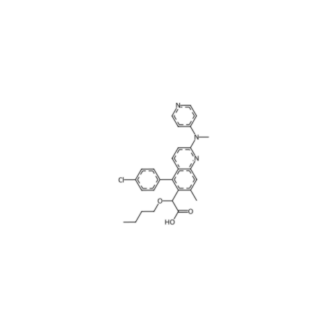 CCCCOC(C(=O)O)c1c(C)cc2nc(N(C)c3ccncc3)ccc2c1-c1ccc(Cl)cc1